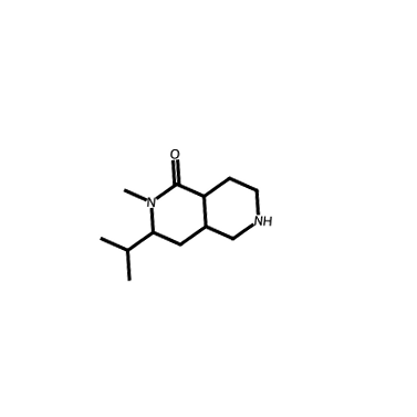 CC(C)C1CC2CNCCC2C(=O)N1C